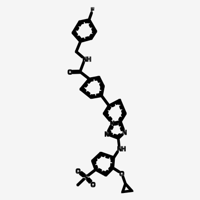 CS(=O)(=O)c1ccc(Nc2nc3ccc(-c4ccc(C(=O)NCc5ccc(F)cc5)cc4)cn3n2)c(OC2CC2)c1